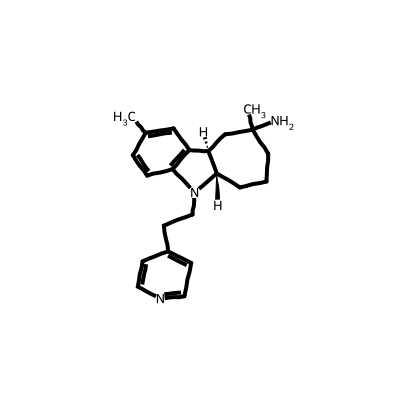 Cc1ccc2c(c1)[C@H]1CC(C)(N)CCC[C@@H]1N2CCc1ccncc1